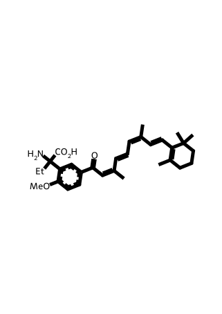 CCC(N)(C(=O)O)c1cc(C(=O)C=C(C)C=CC=C(C)C=CC2=C(C)CCCC2(C)C)ccc1OC